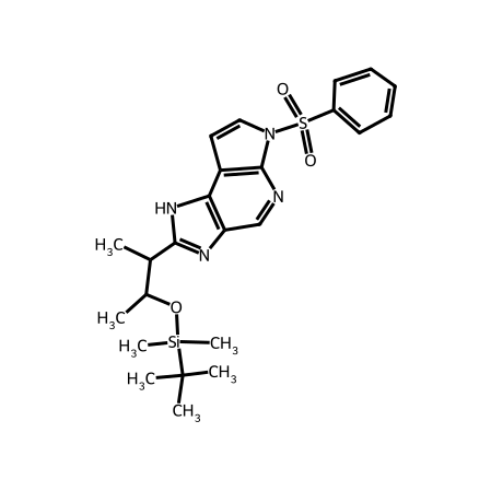 CC(O[Si](C)(C)C(C)(C)C)C(C)c1nc2cnc3c(ccn3S(=O)(=O)c3ccccc3)c2[nH]1